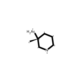 C[C@@]1([AsH2])CCC[N]C1